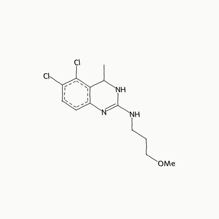 COCCCNC1=Nc2ccc(Cl)c(Cl)c2C(C)N1